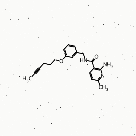 CC#CCCCOc1cccc(CNC(=O)c2ccc(C)nc2N)c1